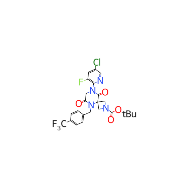 CC(C)(C)OC(=O)N1CC2(C1)C(=O)N(c1ncc(Cl)cc1F)CC(=O)N2Cc1ccc(C(F)(F)F)cc1